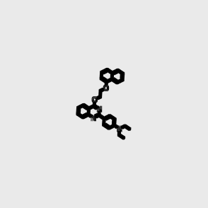 CCN(CC)c1ccc(-c2nc(OCCOc3cccc4ccccc34)c3ccccc3n2)cc1